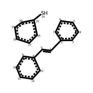 C(=Cc1ccccc1)c1ccccc1.Sc1ccccc1